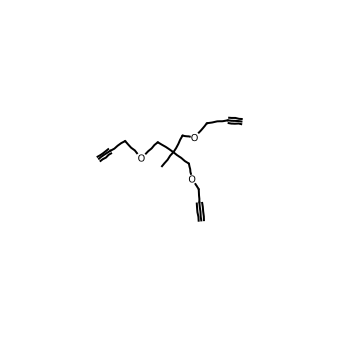 C#CCOCC(C)(COCC#C)COCC#C